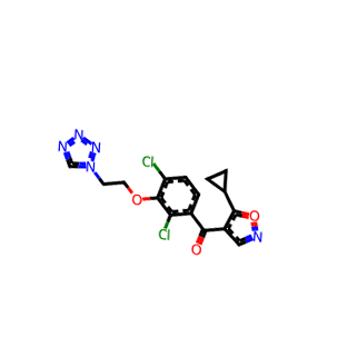 O=C(c1cnoc1C1CC1)c1ccc(Cl)c(OCCn2cnnn2)c1Cl